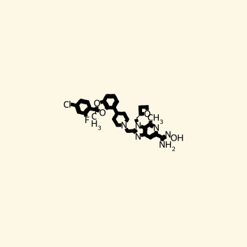 Cc1nc(C(N)=NO)cc2nc(CN3CCC(c4cccc5c4O[C@@](C)(c4ccc(Cl)cc4F)O5)CC3)n(C[C@@H]3CCO3)c12